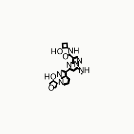 CNc1cc(-c2cnc3n([C@@H]4COC[C@H]4O)cccc2-3)nc2c(C(=O)N[C@@H]3CC[C@@H]3O)cnn12